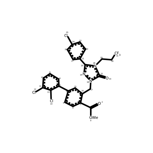 COC(=O)c1ccc(-c2cccc(Cl)c2Cl)cc1Cn1nc(-c2ccc(Cl)cc2)n(CCC(F)(F)F)c1=O